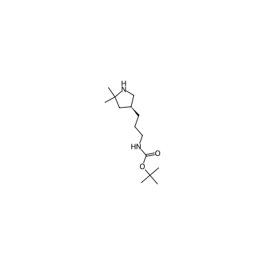 CC1(C)C[C@H](CCCNC(=O)OC(C)(C)C)CN1